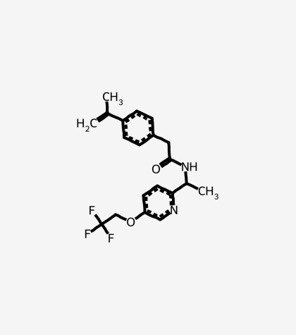 C=C(C)c1ccc(CC(=O)NC(C)c2ccc(OCC(F)(F)F)cn2)cc1